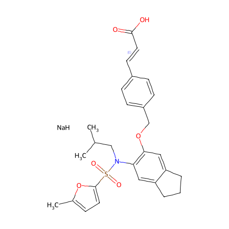 Cc1ccc(S(=O)(=O)N(CC(C)C)c2cc3c(cc2OCc2ccc(/C=C/C(=O)O)cc2)CCC3)o1.[NaH]